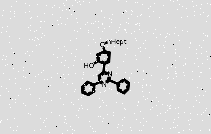 CCCCCCCOc1ccc(-c2cc(-c3ccccc3)nc(-c3ccccc3)n2)c(O)c1